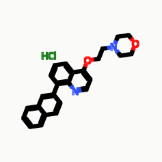 Cl.c1ccc2cc(-c3cccc4c(OCCN5CCOCC5)ccnc34)ccc2c1